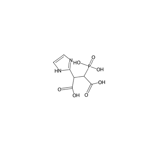 O=C(O)C(c1ncc[nH]1)C(C(=O)O)P(=O)(O)O